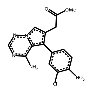 COC(=O)Cc1cn2ncnc(N)c2c1-c1ccc([N+](=O)[O-])c(Cl)c1